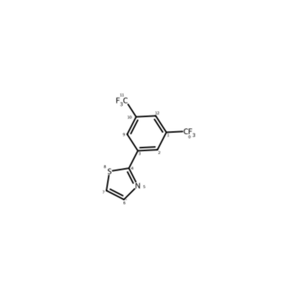 FC(F)(F)c1cc(-c2n[c]cs2)cc(C(F)(F)F)c1